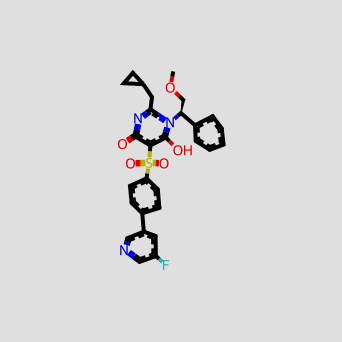 COC[C@@H](c1ccccc1)n1c(CC2CC2)nc(=O)c(S(=O)(=O)c2ccc(-c3cncc(F)c3)cc2)c1O